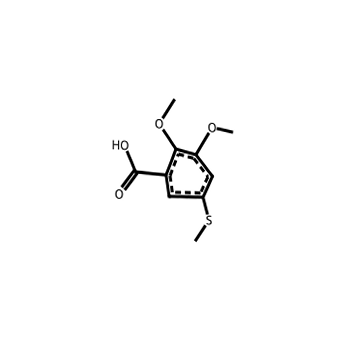 COc1cc(SC)cc(C(=O)O)c1OC